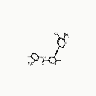 Cc1ccc(NC(=O)c2cnc(C)c(C#Cc3cnc(N)c(Cl)c3)c2)cc1C(F)(F)F